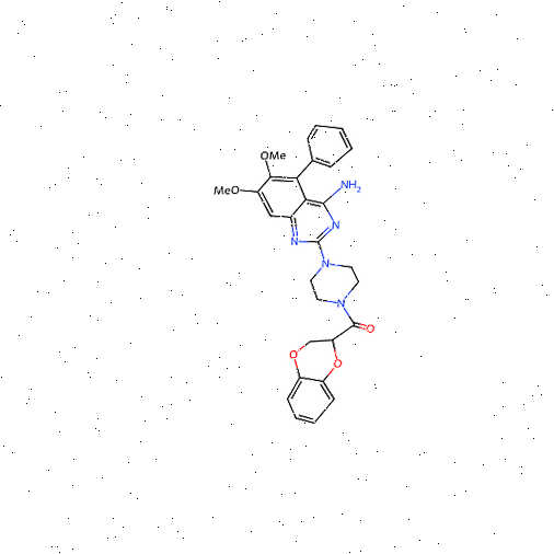 COc1cc2nc(N3CCN(C(=O)C4COc5ccccc5O4)CC3)nc(N)c2c(-c2ccccc2)c1OC